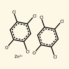 [O-]c1cc(Cl)c(Cl)cc1Cl.[O-]c1cc(Cl)c(Cl)cc1Cl.[Zn+2]